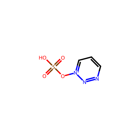 O=S(=O)(O)O[n+]1cccnn1